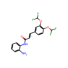 Nc1ccccc1NC(=O)/C=C/c1ccc(OC(F)F)c(OC(F)F)c1